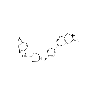 O=C1Cc2cc(-c3ccc(SN4CCC(Nc5ccc(C(F)(F)F)cn5)CC4)cc3)ccc2CN1